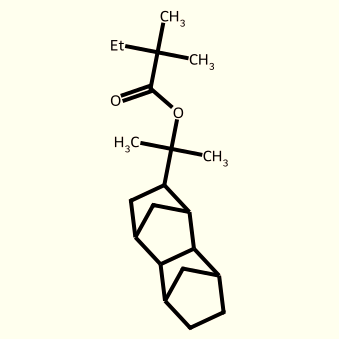 CCC(C)(C)C(=O)OC(C)(C)C1CC2CC1C1C3CCC(C3)C21